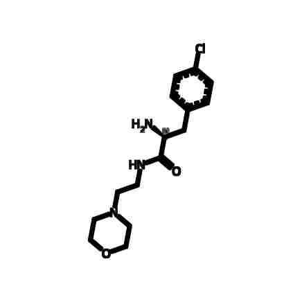 N[C@@H](Cc1ccc(Cl)cc1)C(=O)NCCN1CCOCC1